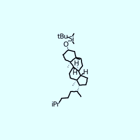 CC(C)CCCC(C)[C@H]1CC[C@H]2[C@@H]3CC=C4C[C@@H](O[Si](C)(C)C(C)(C)C)CC[C@]4(C)[C@H]3CC[C@]12C